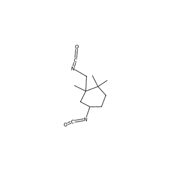 CC1(C)CCC(N=C=O)CC1(C)CN=C=O